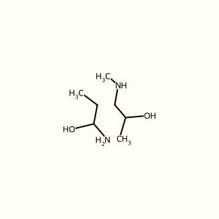 CCC(N)O.CNCC(C)O